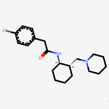 O=C(Cc1ccc(Cl)cc1)N[C@@H]1CCCC[C@H]1CN1CCCCC1